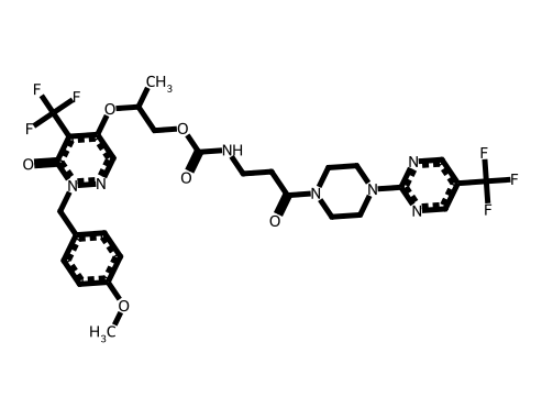 COc1ccc(Cn2ncc(OC(C)COC(=O)NCCC(=O)N3CCN(c4ncc(C(F)(F)F)cn4)CC3)c(C(F)(F)F)c2=O)cc1